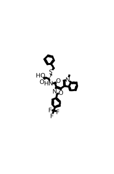 Cn1cc(-c2oc(-c3ccc(C(F)(F)F)cc3)nc2C(=O)N[C@@H](CSCc2ccccc2)C(=O)O)c2ccccc21